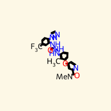 CNC(=O)c1cc(Oc2cccc(NNC(=O)Nc3cc(C(F)(F)F)ccc3-n3ccnn3)c2C)ccn1